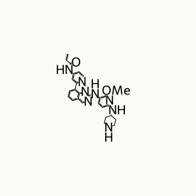 C=CC(=O)Nc1ccnc(-c2cccc3cnc(Nc4ccc(NC5CCNCC5)nc4OC)nc23)c1